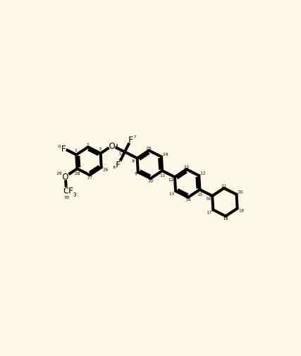 Fc1cc(OC(F)(F)c2ccc(-c3ccc(C4CCCCC4)cc3)cc2)ccc1OC(F)(F)F